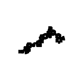 CCOc1ccc(-c2ccc(C3(N)CC3)cc2)cc1S(=O)(=O)N1CCC2(CC1)CC(NCC(O)COc1cccc(S(=O)(=O)C3(CO)CC3)c1)CO2